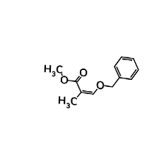 COC(=O)C(C)=COCc1ccccc1